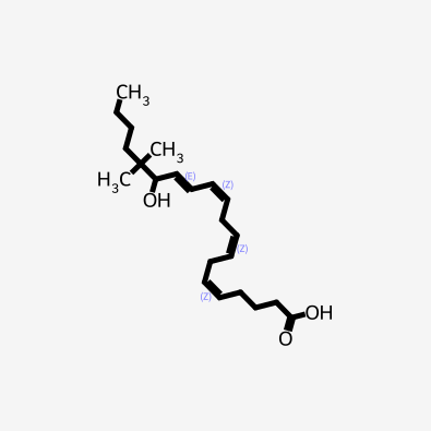 CCCCC(C)(C)C(O)/C=C/C=C\C/C=C\C/C=C\CCCC(=O)O